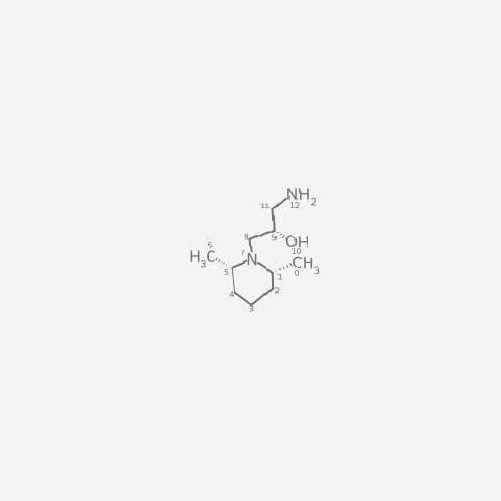 C[C@@H]1CCC[C@H](C)N1C[C@@H](O)CN